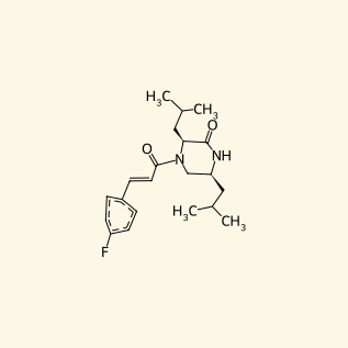 CC(C)C[C@H]1CN(C(=O)/C=C/c2ccc(F)cc2)[C@@H](CC(C)C)C(=O)N1